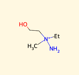 CC[N+](C)(N)CCO